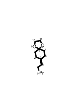 CC(C)CC=C1CCC2(CC1)OCCO2